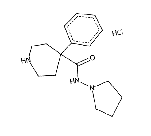 Cl.O=C(NN1CCCC1)C1(c2ccccc2)CCNCC1